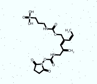 C=C(/C=C(\C=C/C)COC(=O)NCCCP(=O)(O)O)CNC(=O)ON1C(=O)CCC1=O